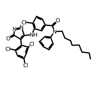 CCCCCCCCN(C(=O)c1ccc(Cl)c(NC2=C(c3c(Cl)cc(Cl)cc3Cl)C(=O)N=N2)c1)c1ccccc1